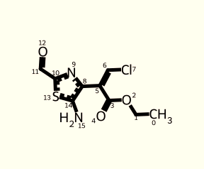 CCOC(=O)C(=CCl)c1nc(C=O)sc1N